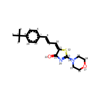 CC(C)(C)c1ccc(C=CC=C2SC(N3CCOCC3)=NC2=O)cc1